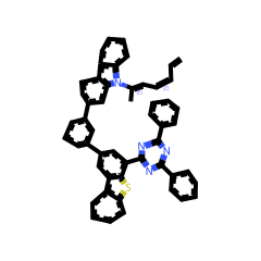 C=C/C=C\C=C(/C)n1c2ccccc2c2ccc(-c3cccc(-c4cc(-c5nc(-c6ccccc6)nc(-c6ccccc6)n5)c5sc6ccccc6c5c4)c3)cc21